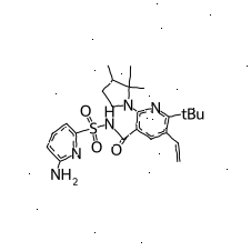 C=Cc1cc(C(=O)NS(=O)(=O)c2cccc(N)n2)c(N2CCC(C)C2(C)C)nc1C(C)(C)C